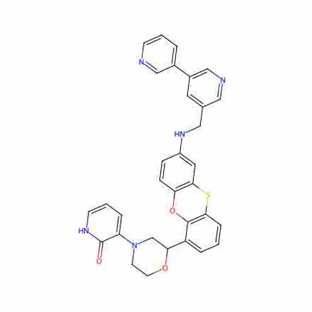 O=c1[nH]cccc1N1CCOC(c2cccc3c2Oc2ccc(NCc4cncc(-c5cccnc5)c4)cc2S3)C1